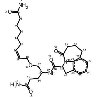 NC(=O)CCCCC/C=C\COC[C@H](CCC(N)=O)NC(=O)[C@@H]1Cc2cccc3c2N1C(=O)CCC3